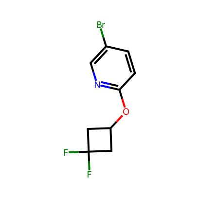 FC1(F)CC(Oc2ccc(Br)cn2)C1